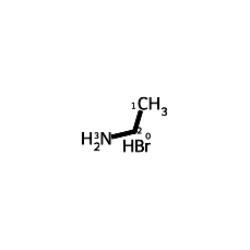 Br.CCN